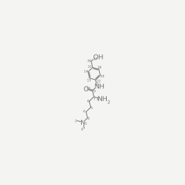 CN(C)CCCCC(N)C(=O)Nc1ccc(CO)cc1